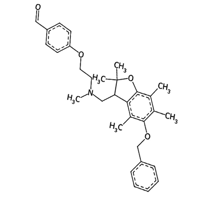 Cc1c(C)c2c(c(C)c1OCc1ccccc1)C(CN(C)CCOc1ccc(C=O)cc1)C(C)(C)O2